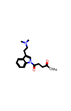 COC(=O)CCC(=O)n1cc(CCN(C)C)c2ccccc21